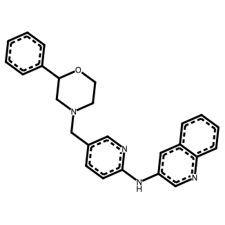 c1ccc(C2CN(Cc3ccc(Nc4cnc5ccccc5c4)nc3)CCO2)cc1